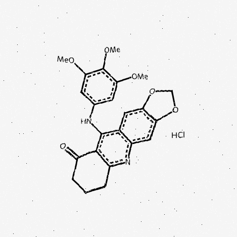 COc1cc(Nc2c3c(nc4cc5c(cc24)OCO5)CCCC3=O)cc(OC)c1OC.Cl